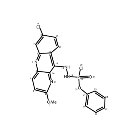 COc1ccc2nc3cc(Cl)ccc3c(NNP(=O)(Cl)Oc3ccccc3)c2n1